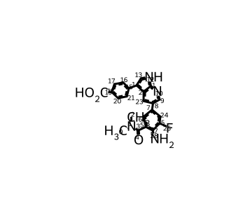 CN(C)C(=O)c1cc(-c2cnc3[nH]cc(-c4ccc(C(=O)O)cc4)c3c2)cc(F)c1N